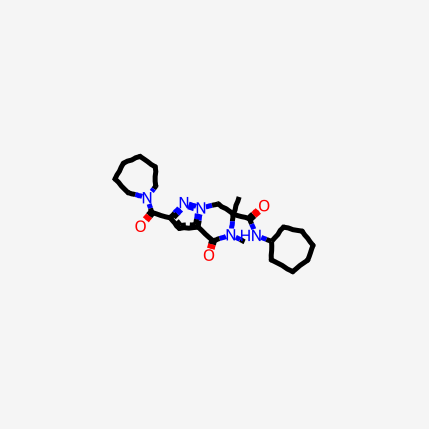 CN1C(=O)c2cc(C(=O)N3CCCCCC3)nn2CC1(C)C(=O)NC1CCCCCC1